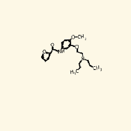 CCCN(CCC)CCOc1cc(NC(=O)c2ccco2)ccc1OC